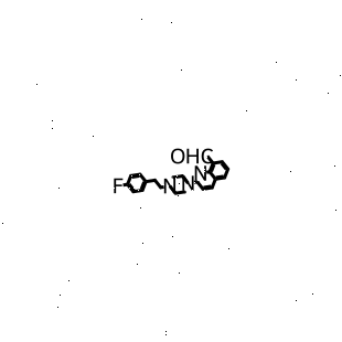 O=Cc1cccc2ccc(N3CCN(CCc4ccc(F)cc4)CC3)nc12